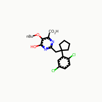 CCCCOc1c(O)nc(CC2(c3cc(Cl)ccc3Cl)CCCC2)nc1C(=O)O